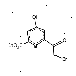 CCOC(=O)c1cc(O)cc(C(=O)CBr)n1